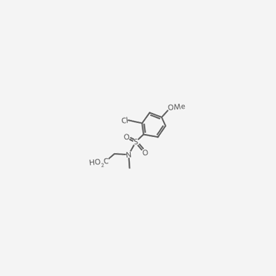 COc1ccc(S(=O)(=O)N(C)CC(=O)O)c(Cl)c1